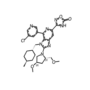 COC[C@@H]1C[C@@H](OC)CN1c1nc2cc(-c3noc(=O)[nH]3)nc(-c3cncc(Cl)c3)c2n1C[C@H]1CC[C@H](C)CC1